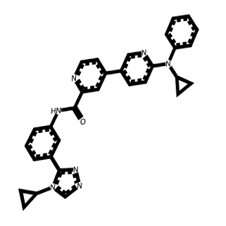 O=C(Nc1cccc(-c2nncn2C2CC2)c1)c1cc(-c2ccc(N(c3ccccc3)C3CC3)nc2)ccn1